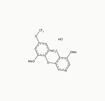 COc1cc(OC(F)(F)F)ccc1Oc1cncc(OC)c1C(=O)O.Cl